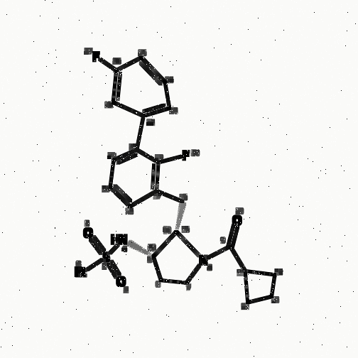 CCS(=O)(=O)N[C@H]1CCN(C(=O)C2CCC2)[C@H]1Cc1cccc(-c2cccc(F)c2)c1F